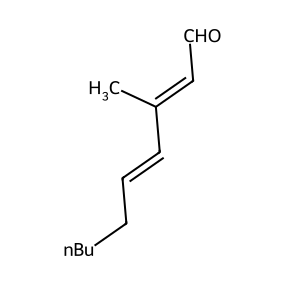 CCCCC/C=C/C(C)=C/C=O